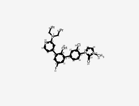 CC(C)CN(CC(C)C)c1cc(-c2cc(F)cc(-c3ccc(-n4ccn(C)c4=O)c(Cl)c3)c2O)ccn1